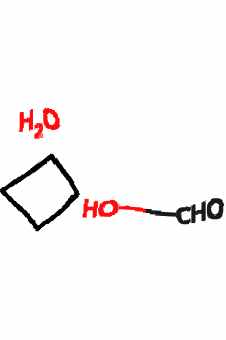 C1CCC1.O.O=CO